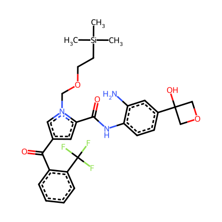 C[Si](C)(C)CCOCn1cc(C(=O)c2ccccc2C(F)(F)F)cc1C(=O)Nc1ccc(C2(O)COC2)cc1N